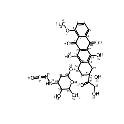 COc1cccc2c1C(=O)c1c(O)c3c(c(O)c1C2=O)C[C@@](O)(C(=O)CO)C[C@@H]3OC1CC(NN=C=O)C(O)C(C)O1